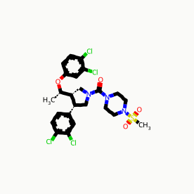 C[C@H](Oc1ccc(Cl)c(Cl)c1)[C@@H]1CN(C(=O)N2CCN(S(C)(=O)=O)CC2)C[C@@H]1c1ccc(Cl)c(Cl)c1